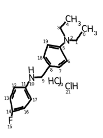 CCN(CC)c1ccc(CNc2ccc(F)cc2)cc1.Cl.Cl